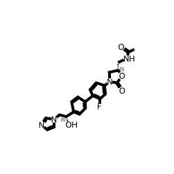 CC(=O)NC[C@H]1CN(c2ccc(-c3ccc([C@H](O)Cn4ccnc4)cc3)c(F)c2)C(=O)O1